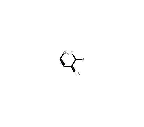 C=C(/C=C\C)C(F)F